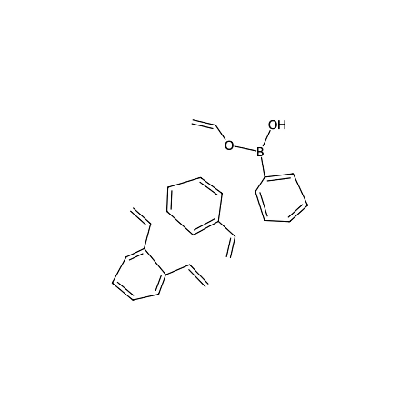 C=COB(O)c1ccccc1.C=Cc1ccccc1.C=Cc1ccccc1C=C